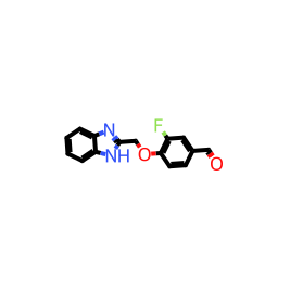 O=Cc1ccc(OCc2nc3ccccc3[nH]2)c(F)c1